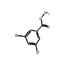 NOC(=O)c1cc(Cl)cc(Cl)c1